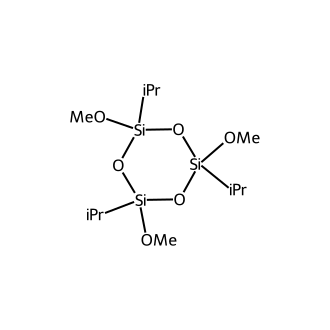 CO[Si]1(C(C)C)O[Si](OC)(C(C)C)O[Si](OC)(C(C)C)O1